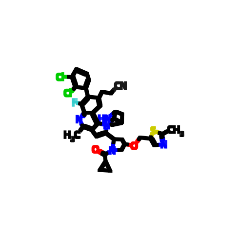 Cc1ncc(COC2CC(c3cc4c(C)nc5c(F)c(-c6cccc(Cl)c6Cl)c(CCC#N)cc5c4n3C3C4CNC3C4)N(C(=O)C3CC3)C2)s1